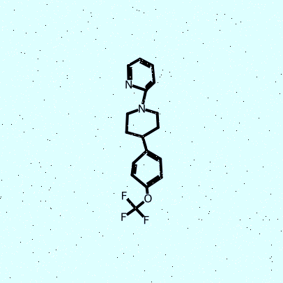 FC(F)(F)Oc1ccc(C2CCN(c3ccccn3)CC2)cc1